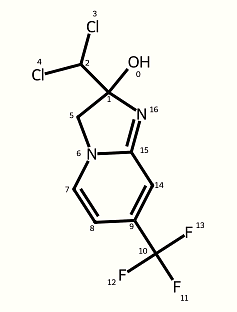 OC1(C(Cl)Cl)CN2C=CC(C(F)(F)F)=CC2=N1